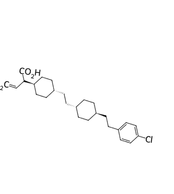 C=CC(C(=O)O)[C@H]1CC[C@H](CC[C@H]2CC[C@H](CCc3ccc(Cl)cc3)CC2)CC1